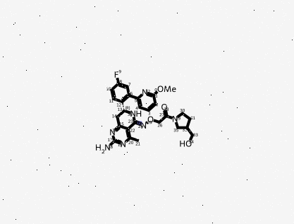 COc1cccc(-c2cc(F)ccc2[C@H]2Cc3nc(N)nc(C)c3/C(=N/OCC(=O)N3CCC(CO)C3)N2)n1